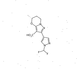 C[C@@H]1CCn2nc(-c3cnn(C(F)F)c3)c(C(=O)O)c2O1